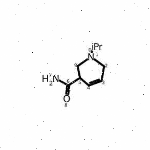 CC(C)N1CC=CC(C(N)=O)C1